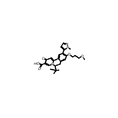 COCCCOc1cc2c(cc1-c1ccnn1C)-c1cc(=O)c(C(=O)O)cn1C(C(C)(C)C)C2